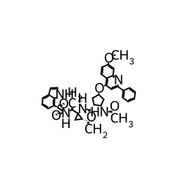 C=C[C@@H]1C[C@]1(NC(=O)[C@@H]1C[C@@H](Oc2cc(-c3ccccc3)nc3cc(OC)ccc23)C[C@@H]1NC(C)=O)C(=C)NS(=O)(=O)c1cccc2cc[nH]c12